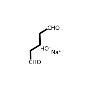 O=CCCCC=O.[Na+].[OH-]